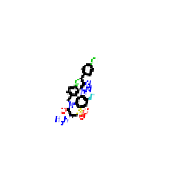 N[C@H]1CS(=O)(=O)c2cc(F)c(-n3cc(Cc4ccc(Cl)cc4)nn3)cc2N(Cc2ccc(Cl)cc2)C1=O